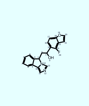 OC(CC1c2ccccc2-c2cncn21)c1ccc2occc2c1F